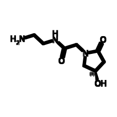 NCCNC(=O)CN1C[C@H](O)CC1=O